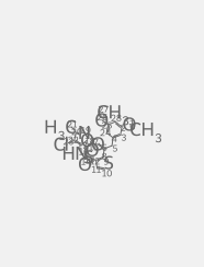 COc1cc(CC(=O)c2sccc2S(=O)(=O)Nc2onc(C)c2Cl)cc(OC)c1